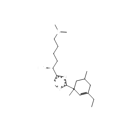 CCC1=CC(C)(c2noc([C@@H](N)CCCCN(C)C)n2)CC(C)C1